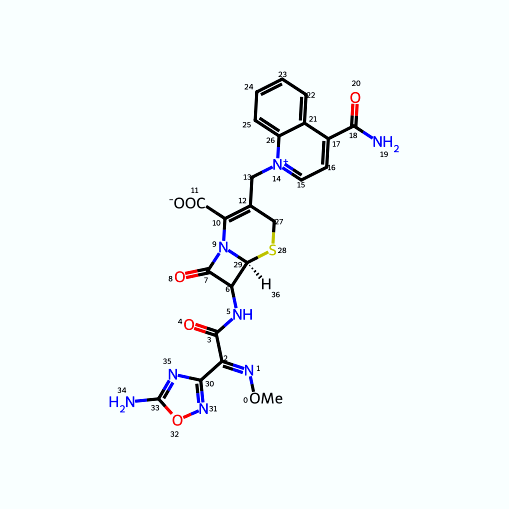 CON=C(C(=O)NC1C(=O)N2C(C(=O)[O-])=C(C[n+]3ccc(C(N)=O)c4ccccc43)CS[C@@H]12)c1noc(N)n1